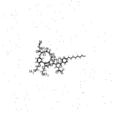 CCCCCCCCc1ccc(C(=O)NC(CCC(=O)N(C)C)C(=O)N(C)C2C(=O)NC(C)C(=O)NC(C(=O)NCC#N)Cc3ccc(OCCN)c(c3)-c3cc2ccc3OCCN)c(C)c1